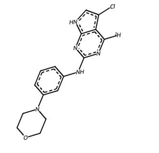 [2H]c1nc(Nc2cccc(N3CCOCC3)c2)nc2[nH]cc(Cl)c12